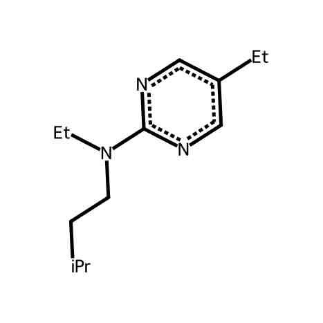 CCc1cnc(N(CC)CCC(C)C)nc1